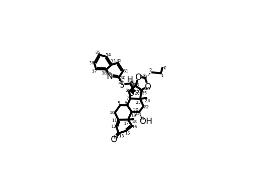 CCC[C@H]1O[C@@H]2CC3C4CCC5=CC(=O)C=CC5(C)C4[C@@H](O)CC3(C)[C@]2(C(=O)CSc2ccc3ccccc3n2)O1